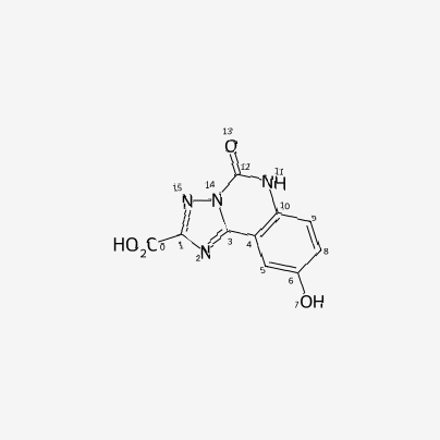 O=C(O)c1nc2c3cc(O)ccc3[nH]c(=O)n2n1